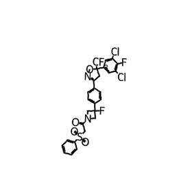 O=C(CS(=O)(=O)c1ccccc1)N1CC(F)(c2ccc(C3=NOC(c4cc(Cl)c(F)c(Cl)c4)(C(F)(F)F)C3)cc2)C1